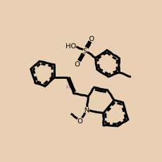 CON1c2ccccc2C=CC1/C=C/c1ccccc1.Cc1ccc(S(=O)(=O)O)cc1